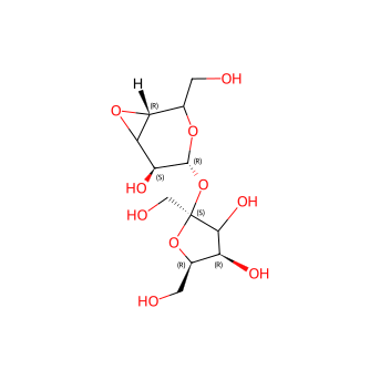 OCC1O[C@H](O[C@]2(CO)O[C@H](CO)[C@H](O)C2O)[C@@H](O)C2O[C@H]12